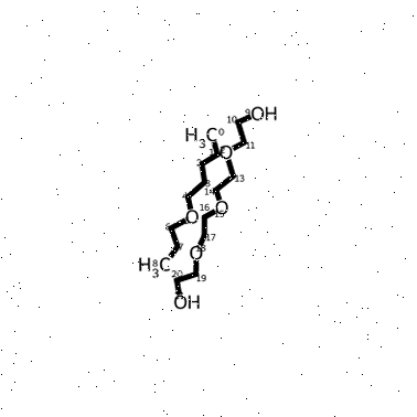 CCCCCOCCC.OCCOCCOCCOCCO